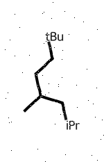 [CH2]C(C)(C)CCC(C)CC(C)C